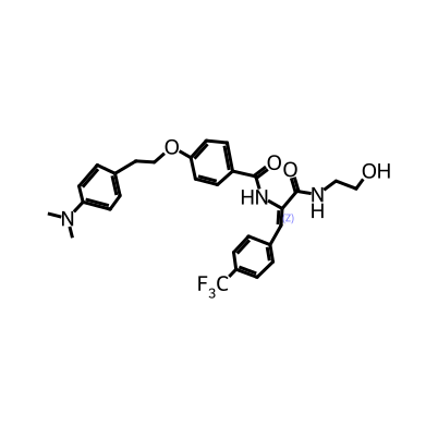 CN(C)c1ccc(CCOc2ccc(C(=O)N/C(=C\c3ccc(C(F)(F)F)cc3)C(=O)NCCO)cc2)cc1